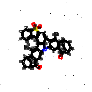 CCc1c2c(cc3c1c1cc4c(c5c6c(CC)c7c(cc6n3c15)C(=O)C1CCC7CC1)-c1ccccc1S4(=O)=O)C(=O)C1CCC2CC1